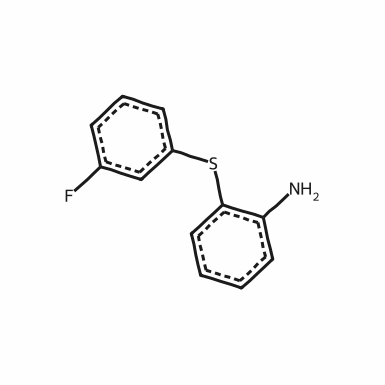 Nc1ccccc1Sc1cccc(F)c1